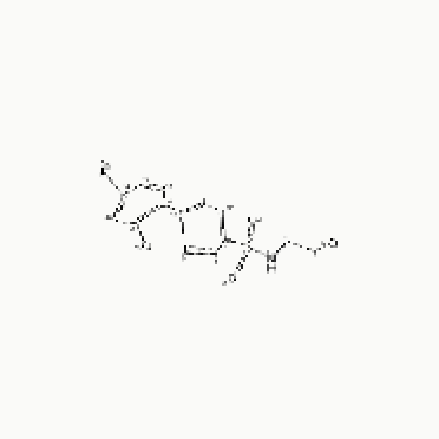 O=S(=O)(NCCCl)c1ccc(-c2ccc(F)cc2Cl)cc1